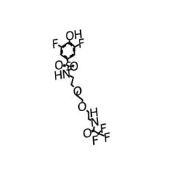 O=C(NCCOCCOCCNS(=O)(=O)c1cc(F)c(O)c(F)c1)C(F)(F)F